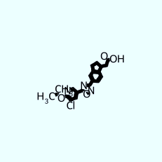 CC(C)Oc1ncc(-c2nc(-c3ccc4c(c3)CCC4CC(=O)O)no2)cc1Cl